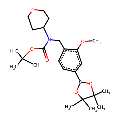 COc1cc(B2OC(C)(C)C(C)(C)O2)ccc1CN(C(=O)OC(C)(C)C)C1CCOCC1